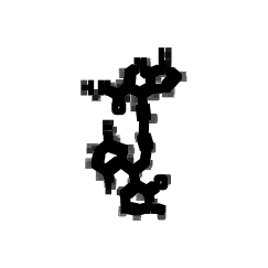 Cn1cccc(C(CC#CC#Cc2c(C(N)=O)cnc3[nH]ccc23)c2cc(F)ccc2F)c1=O